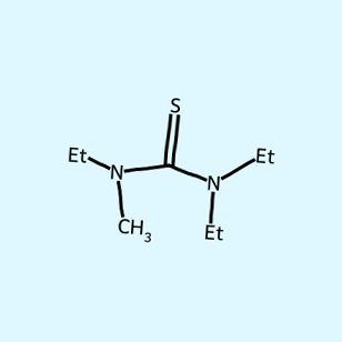 CCN(C)C(=S)N(CC)CC